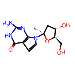 C[C@]1(n2ccc3c(=O)[nH]c(N)nc32)C[C@H](O)[C@@H](CO)O1